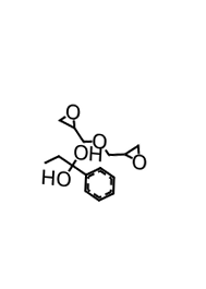 C(OCC1CO1)C1CO1.CCC(O)(O)c1ccccc1